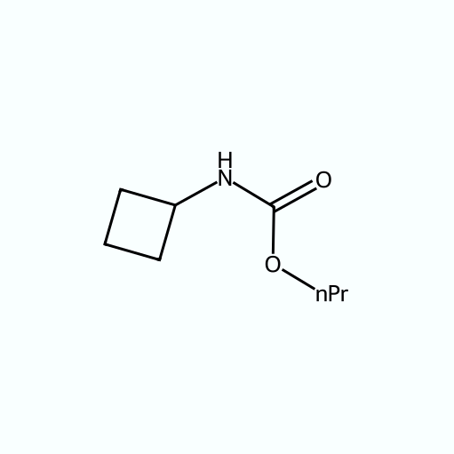 [CH2]CCOC(=O)NC1CCC1